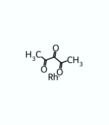 CC(=O)C(=O)C(C)=O.[Rh]